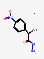 NNC(=O)C(S)c1ccc([N+](=O)[O-])cc1